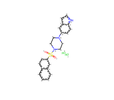 Cl.Cl.O=S(=O)(c1ccc2ccccc2c1)N1CCN(c2ccc3[nH]ccc3c2)CC1